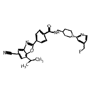 CC(C)c1cc(C#N)cc2nc(-c3ccc(C(=O)NCC4CCN(c5cc(CF)ccn5)CC4)cc3)oc12